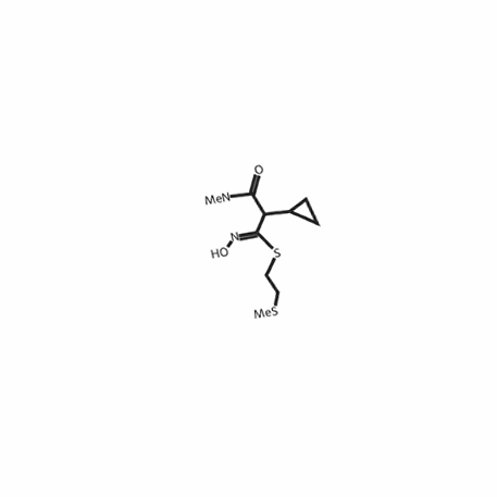 CNC(=O)C(C(=NO)SCCSC)C1CC1